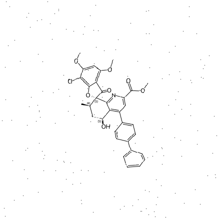 COC(=O)c1cc(-c2ccc(-c3ccccc3)cc2)c2c(n1)[C@@]1(Oc3c(Cl)c(OC)cc(OC)c3C1=O)[C@H](C)C[C@@H]2O